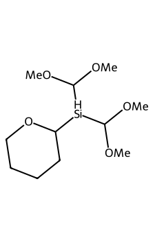 COC(OC)[SiH](C1CCCCO1)C(OC)OC